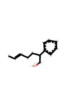 C/C=C/CCC(CO)c1ccccc1